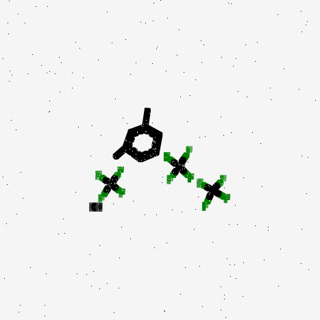 Cc1cccc(C)c1.F[B-](F)(F)F.F[B-](F)(F)F.F[B-](F)(F)F.[KH]